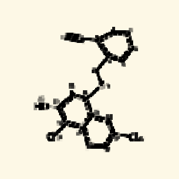 C#Cc1ccccc1CSc1nc(O)c(Cl)c2ccc(Cl)cc12